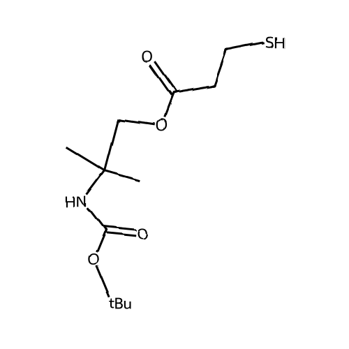 CC(C)(COC(=O)CCS)NC(=O)OC(C)(C)C